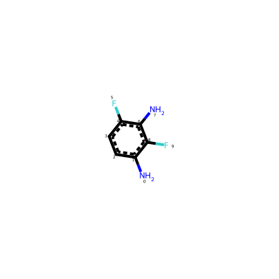 Nc1ccc(F)c(N)c1F